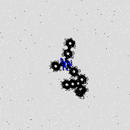 c1ccc(-c2ccc(-c3nc(-c4ccccc4)nc(-c4ccc(-c5cccc6c5-c5cc7ccccc7cc5C65C6CC7CC(C6)CC5C7)cc4)n3)cc2)cc1